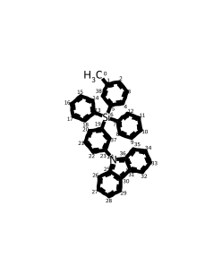 Cc1cccc([Si](c2ccccc2)(c2ccccc2)c2cccc(-n3c4ccccc4c4ccccc43)c2)c1